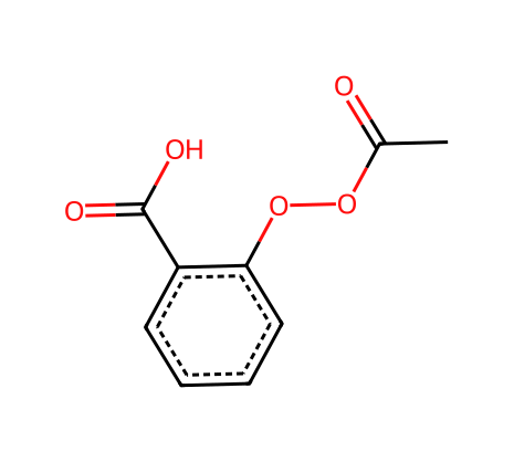 CC(=O)OOc1ccccc1C(=O)O